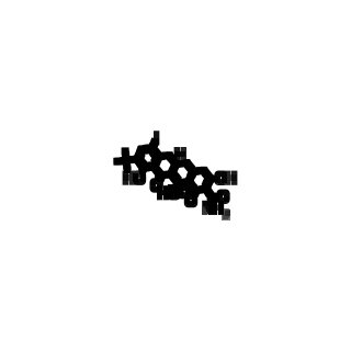 CC(C)(C)c1cc(I)c2c(c1O)C(=O)C1=C(O)[C@]3(O)C(=O)C(C(N)=O)=C(O)CC3C[C@@H]1C2